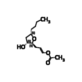 CCCC[C@H]1C[C@@H](O)[C@H](CC=COC(C)=O)O1